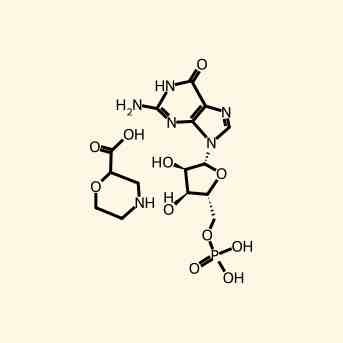 Nc1nc2c(ncn2[C@@H]2O[C@H](COP(=O)(O)O)[C@@H](O)[C@H]2O)c(=O)[nH]1.O=C(O)C1CNCCO1